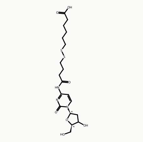 O=C(O)CCCCCSSCCCC(=O)Nc1ccn([C@H]2CC(O)[C@@H](CO)O2)c(=O)n1